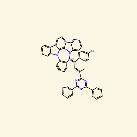 C/C(=C(\C=C(/C)c1nc(-c2ccccc2)nc(-c2ccccc2)n1)c1ccc(C(F)(F)F)cc1)n1c2ccccc2c2ccc3c4ccccc4n(-c4c#cccc4)c3c21